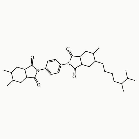 CC(C)C(C)CCCCC1CC2C(=O)N(c3ccc(N4C(=O)C5CC(C)C(C)CC5C4=O)cc3)C(=O)C2CC1C